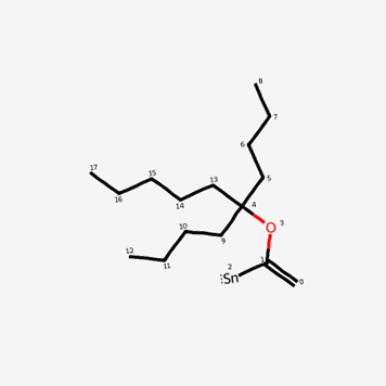 C=[C]([Sn])OC(CCCC)(CCCC)CCCCC